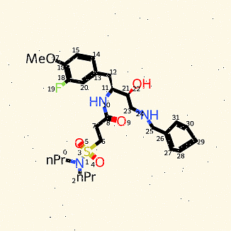 CCCN(CCC)S(=O)(=O)CCC(=O)N[C@@H](Cc1ccc(OC)c(F)c1)[C@@H](O)CNCc1ccccc1